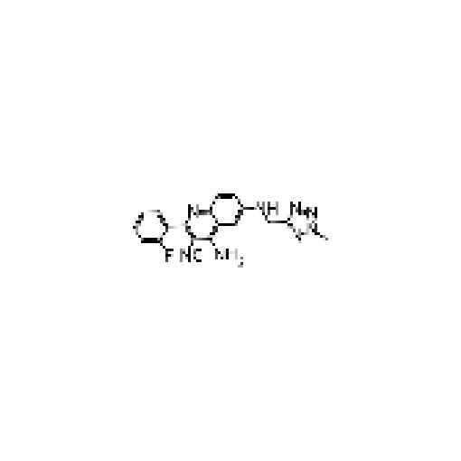 Cn1nnc(CNc2ccc3nc(-c4ccccc4F)c(C#N)c(N)c3c2)n1